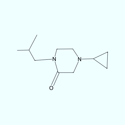 CC(C)CN1CCN(C2CC2)CC1=O